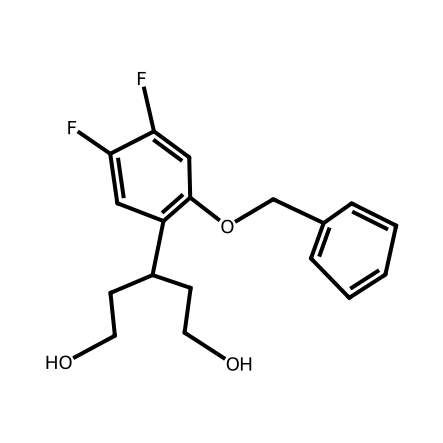 OCCC(CCO)c1cc(F)c(F)cc1OCc1ccccc1